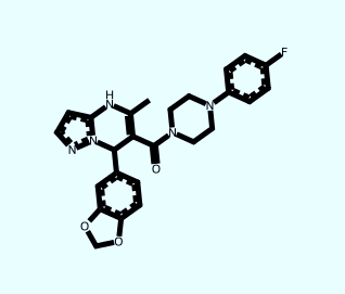 CC1=C(C(=O)N2CCN(c3ccc(F)cc3)CC2)C(c2ccc3c(c2)OCO3)n2nccc2N1